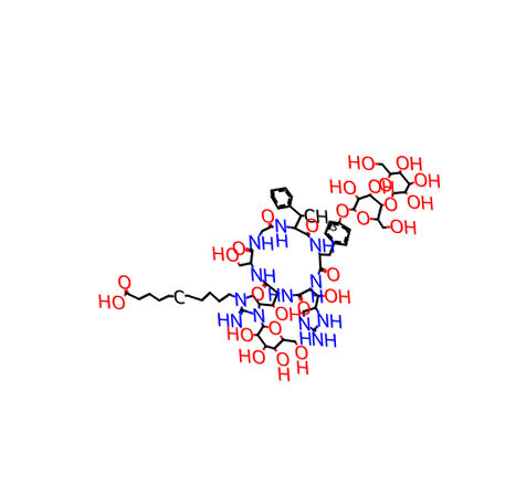 CC(c1ccccc1)C1NC(=O)CNC(=O)C(CO)NC(=O)C(C(O)C2CN(CCCCCCCCCCC(=O)O)C(=N)N2C2OC(CO)C(O)C(O)C2O)NC(=O)C(C(O)C2CNC(=N)N2)NC(=O)C(Cc2ccc(OC3OC(CO)C(OC4OC(CO)C(O)C(O)C4O)C(O)C3O)cc2)NC1=O